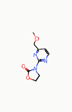 COCc1ccnc(N2CCOC2=O)n1